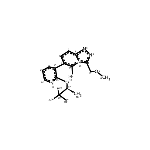 COCc1nnc2ccc(-c3cccnc3O[C@@H](C)C(F)(F)F)c(F)n12